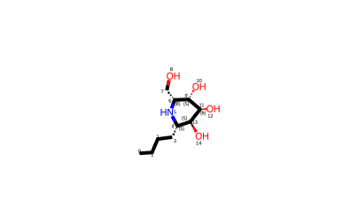 CCCC[C@@H]1N[C@H](CO)[C@H](O)[C@H](O)[C@H]1O